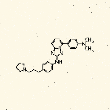 CN(C)c1ccc(-c2cccc3nc(Nc4ccc(CCCN5CCCC5)cc4)nn23)cc1